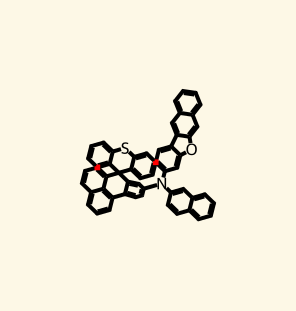 c1ccc2c(c1)Sc1ccccc1C21c2cc(N(c3ccc4ccccc4c3)c3ccc4c(c3)oc3cc5ccccc5cc34)ccc2-c2cccc3cccc1c23